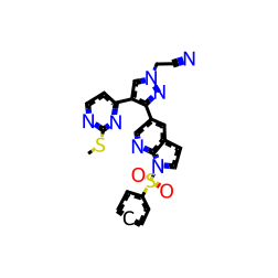 CSc1nccc(-c2cn(CC#N)nc2-c2cnc3c(ccn3S(=O)(=O)c3ccccc3)c2)n1